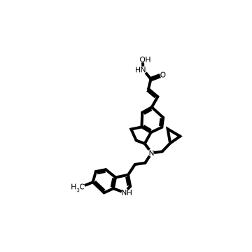 Cc1ccc2c(CCN(CC3CC3)C3CCc4cc(/C=C/C(=O)NO)ccc43)c[nH]c2c1